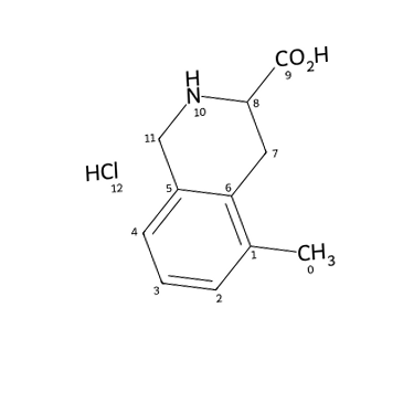 Cc1cccc2c1CC(C(=O)O)NC2.Cl